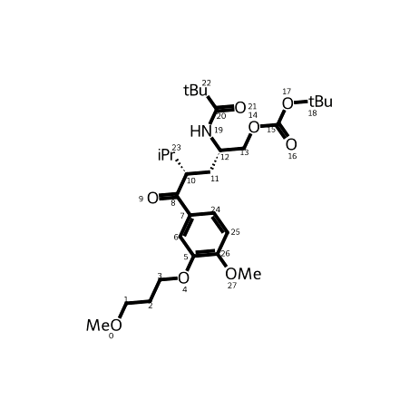 COCCCOc1cc(C(=O)[C@@H](C[C@@H](COC(=O)OC(C)(C)C)NC(=O)C(C)(C)C)C(C)C)ccc1OC